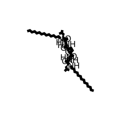 CCCCCCCCCCCCCCN[C@@H](CC(C)C)C(=O)NNC(=O)c1ccc(C(=O)NNC(=O)[C@H](CC(C)C)NCCCCCCCCCCCCCC)o1